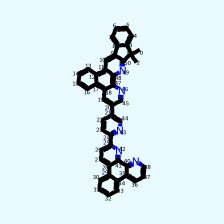 CC1(C)c2ccccc2-c2cc3c4ccccc4c4cc(-c5ccc(-c6ccc7c8ccccc8c8cccnc8c7n6)nc5)cnc4c3nc21